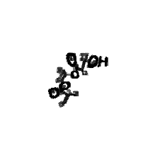 C=C(C)C(=O)OCC(C)OC(=O)C=CO